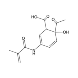 C=C(C)C(=O)NC1=CC(C(=O)O)C(O)(C(C)=O)C=C1